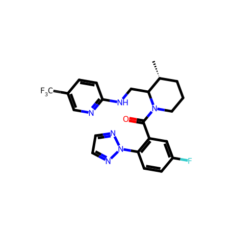 C[C@@H]1CCCN(C(=O)c2cc(F)ccc2-n2nccn2)C1CNc1ccc(C(F)(F)F)cn1